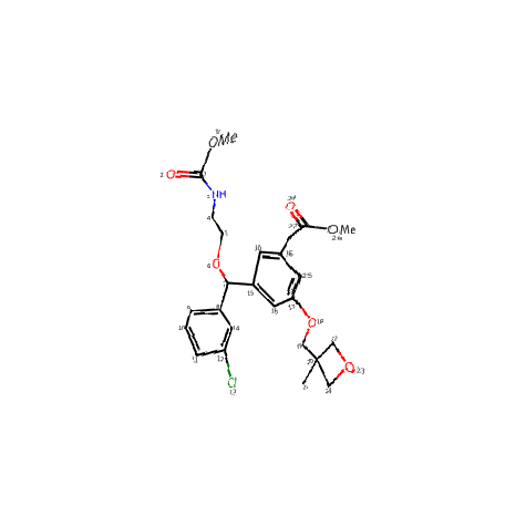 COC(=O)NCCOC(c1cccc(Cl)c1)c1cc(OCC2(C)COC2)cc(C(=O)OC)c1